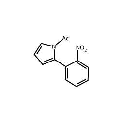 CC(=O)n1cccc1-c1ccccc1[N+](=O)[O-]